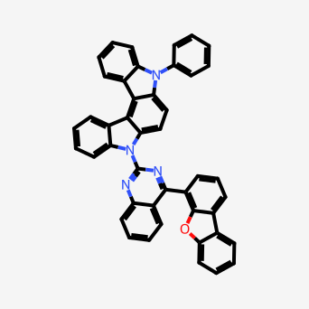 c1ccc(-n2c3ccccc3c3c4c5ccccc5n(-c5nc(-c6cccc7c6oc6ccccc67)c6ccccc6n5)c4ccc32)cc1